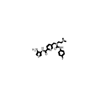 CN(C)CCN(Cc1ccc(C(=O)Nc2cscc2N)nc1)C(=O)Nc1ccc(F)cc1